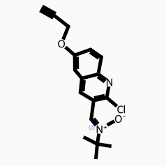 C#CCOc1ccc2nc(Cl)c(/C=[N+](\[O-])C(C)(C)C)cc2c1